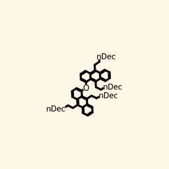 CCCCCCCCCCCCc1c2ccccc2c(CCCCCCCCCCCC)c2c(Oc3cccc4c(CCCCCCCCCCCC)c5ccccc5c(CCCCCCCCCCCC)c34)cccc12